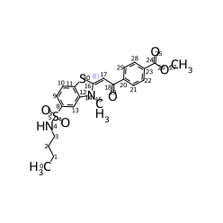 CCCCNS(=O)(=O)c1ccc2c(c1)N(C)/C(=C\C(=O)c1ccc(C(=O)OC)cc1)S2